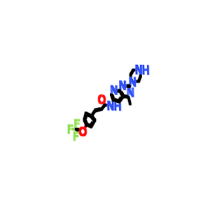 Cc1nc(N2CCNCC2)nc2ncc(NC(=O)C=Cc3ccc(OC(F)(F)F)cc3)cc12